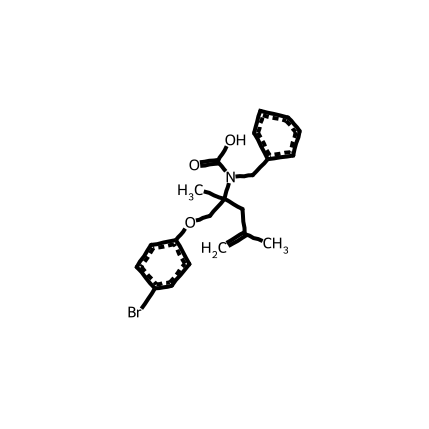 C=C(C)CC(C)(COc1ccc(Br)cc1)N(Cc1ccccc1)C(=O)O